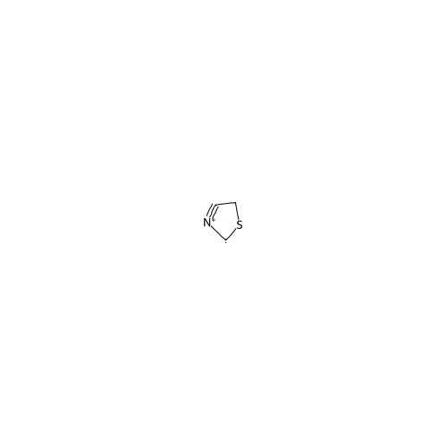 C1#[N+][CH]SC1